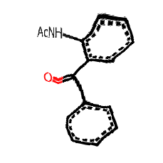 [CH2]C(=O)Nc1ccccc1C(=O)c1ccccc1